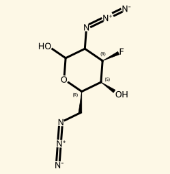 [N-]=[N+]=NC[C@H]1OC(O)C(N=[N+]=[N-])[C@@H](F)[C@H]1O